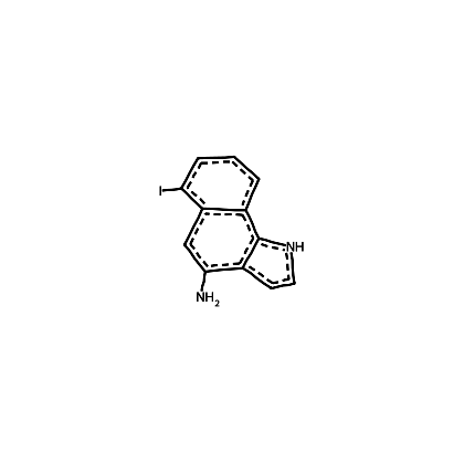 Nc1cc2c(I)cccc2c2[nH]ccc12